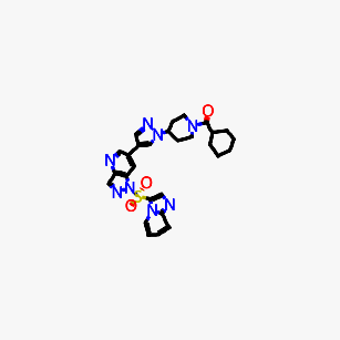 O=C(C1CCCCC1)N1CCC(n2cc(-c3cnc4cnn(S(=O)(=O)c5cnc6ccccn56)c4c3)cn2)CC1